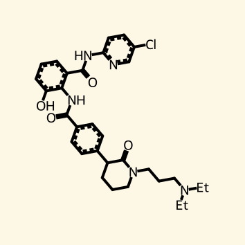 CCN(CC)CCCN1CCCC(c2ccc(C(=O)Nc3c(O)cccc3C(=O)Nc3ccc(Cl)cn3)cc2)C1=O